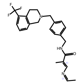 C/C=N\C=C(/C)C(=O)NCc1ccc(CN2CCc3c(cccc3C(F)(F)F)C2)cc1